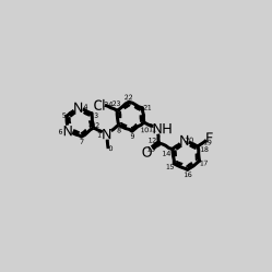 CN(c1cncnc1)c1cc(NC(=O)c2cccc(F)n2)ccc1Cl